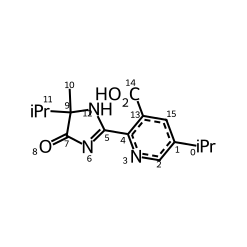 CC(C)c1cnc(C2=NC(=O)C(C)(C(C)C)N2)c(C(=O)O)c1